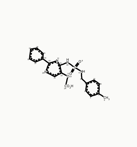 Cc1ccc(CNS(=O)(=O)Nc2nc(-c3ccccc3)ncc2OC(=O)O)cc1